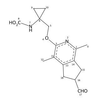 Cc1nc(OCC2(NC(=O)O)CC2)c(C)c2c1CC(C=O)C2